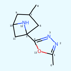 Cc1nnc(C23CC(C)CC(C2)N3)o1